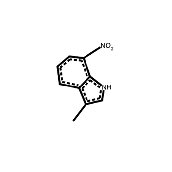 Cc1c[nH]c2c([N+](=O)[O-])cccc12